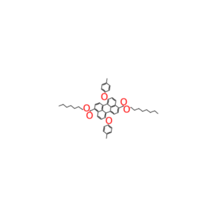 CCCCCCCCOC(=O)c1ccc2c3c(Oc4ccc(C)cc4)ccc4c(C(=O)OCCCCCCC)ccc(c5c(Oc6ccc(C)cc6)ccc1c25)c43